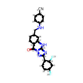 N#Cc1ccc(NCc2ccc3c(=O)n4nc(-c5ccc(F)cc5F)nc4[nH]c3c2)cc1